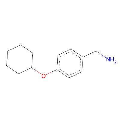 NCc1ccc(OC2CCCCC2)cc1